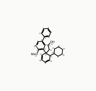 COc1ncc(-c2ccccc2)cc1C1(CCO)C=CC=CC1C1CCCCC1